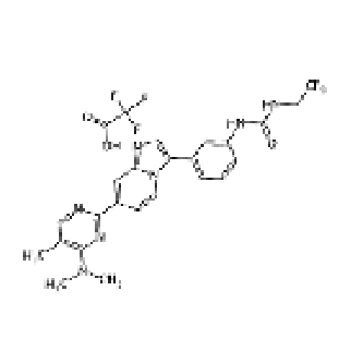 Cc1cnc(-c2ccn3c(-c4cccc(NC(=O)NCC(F)(F)F)c4)cnc3c2)nc1N(C)C.O=C(O)C(F)(F)F